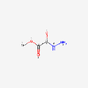 CCOC(=O)C(=O)NN